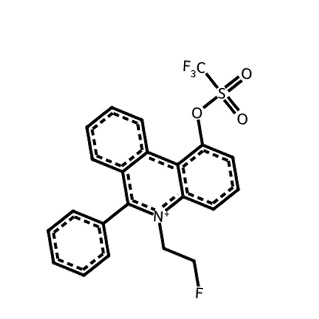 O=S(=O)(Oc1cccc2c1c1ccccc1c(-c1ccccc1)[n+]2CCF)C(F)(F)F